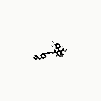 COC(=O)C1=C(C)NC(C)=C(C(=O)OC/C=C/c2ccc(Cn3ccnc3)cc2)C1c1cccc([N+](=O)[O-])c1